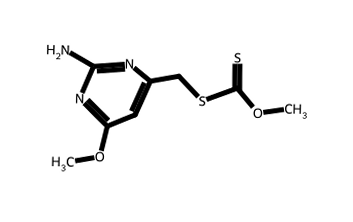 COC(=S)SCc1cc(OC)nc(N)n1